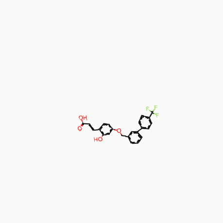 O=C(O)C=Cc1ccc(OCc2cccc(-c3ccc(C(F)(F)F)cc3)c2)cc1O